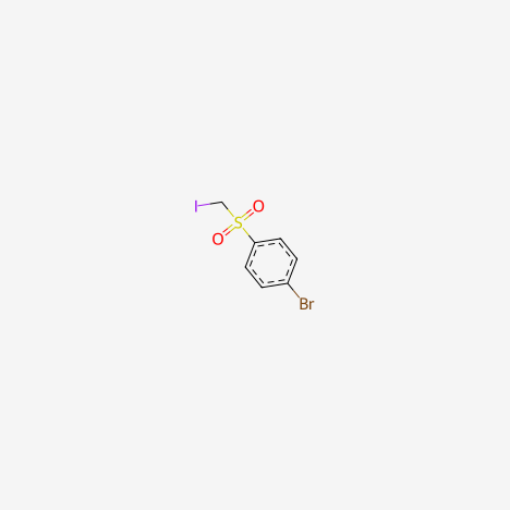 O=S(=O)(CI)c1ccc(Br)cc1